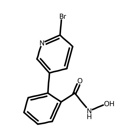 O=C(NO)c1ccccc1-c1ccc(Br)nc1